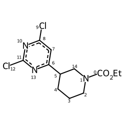 CCOC(=O)N1CCCC(c2cc(Cl)nc(Cl)n2)C1